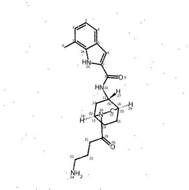 Cc1cccc2cc(C(=O)N[C@H]3C[C@@H]4CC[C@H]3CN4C(=O)CCCN)[nH]c12